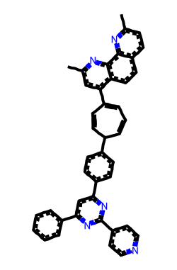 Cc1ccc2ccc3c(C4=CC=CC(c5ccc(-c6cc(-c7ccccc7)nc(-c7ccncc7)n6)cc5)C=C4)cc(C)nc3c2n1